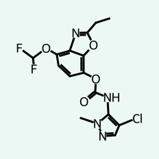 CCc1nc2c(OC(F)F)ccc(OC(=O)Nc3c(Cl)cnn3C)c2o1